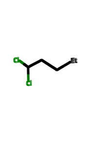 [CH2]CCCC(Cl)Cl